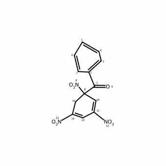 O=C(c1ccccc1)C1([N+](=O)[O-])C=C([N+](=O)[O-])C=C([N+](=O)[O-])C1